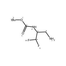 CC(C)(C)OC(=O)NC(CN)C(F)F